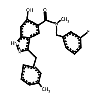 Cc1cccc(Cc2n[nH]c3cc(O)c(C(=O)N(C)Cc4cccc(F)c4)cc23)c1